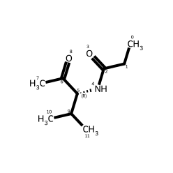 CCC(=O)N[C@@H](C(C)=O)C(C)C